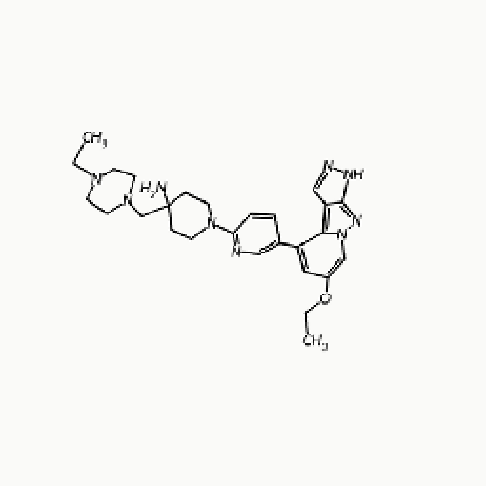 CCOc1cc(-c2ccc(N3CCC(N)(CN4CCN(CC)CC4)CC3)nc2)c2c3cn[nH]c3nn2c1